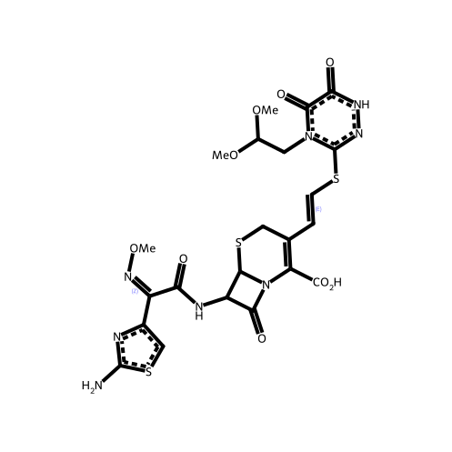 CO/N=C(\C(=O)NC1C(=O)N2C(C(=O)O)=C(/C=C/Sc3n[nH]c(=O)c(=O)n3CC(OC)OC)CSC12)c1csc(N)n1